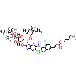 CCCCOC(=O)/C=C/c1cc(F)c2c(c1)CC[C@@H]2Nc1nc2c(cc1Cl)nc(O[C@@H]1CO[C@@H]3C(O[Si](C)(C)C(C)(C)C)CO[C@@H]31)n2COCC[Si](C)(C)C